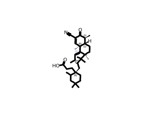 CC(=O)/C=C1/[C@@]2(C)C=C(C#N)C(=O)[C@@H](C)[C@@H]2CC[C@@]1(C)C(C)(C)CC[C@@]1(CCC(=O)O)CCC(C)(C)CC1C